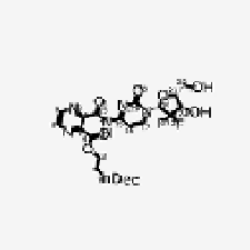 CCCCCCCCCCCCOC(=O)c1nccnc1C(=O)Nc1ccn([C@@H]2O[C@H](CO)[C@@H](O)C2(F)F)c(=O)n1